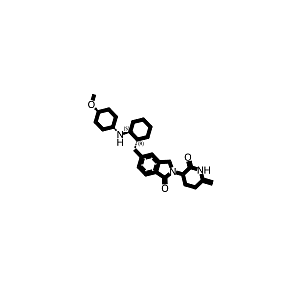 C=C1CCC(N2Cc3cc(C[C@H]4CCCC[C@@H]4N[C@H]4CC[C@H](OC)CC4)ccc3C2=O)C(=O)N1